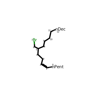 CCCCC/C=C\CCC(CBr)CCCCCCCCCCCCCC